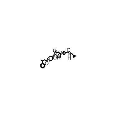 CC(CC(=O)N1CCC(O)(Cn2cnc(N3CC(C(=O)NCC4CC4)C3)cc2=O)CC1)c1ccccc1